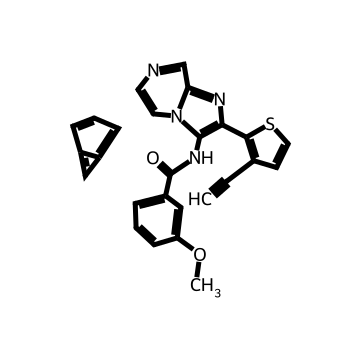 C#Cc1ccsc1-c1nc2cnccn2c1NC(=O)c1cccc(OC)c1.c1cc2cc-2c1